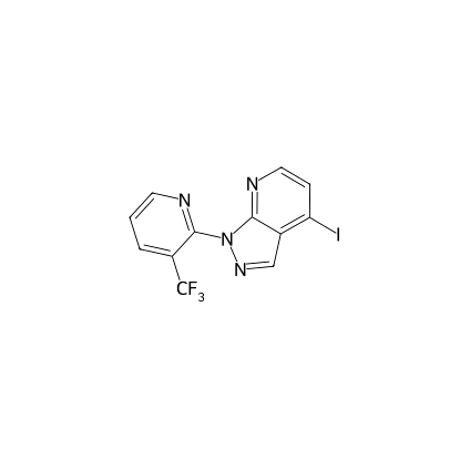 FC(F)(F)c1cccnc1-n1ncc2c(I)ccnc21